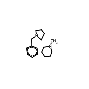 CN1CCCCC1.c1ccc(CN2CCCC2)cc1